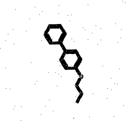 CCCOc1ccc(-c2ccccc2)cc1